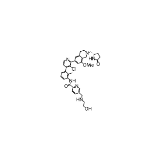 COc1cc(-c2nccc(-c3cccc(NC(=O)c4ccc(CNCCO)cn4)c3C)c2Cl)cc2c1CN(C[C@@H]1CCC(=O)N1)CC2